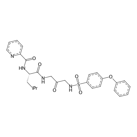 CC(C)C[C@H](NC(=O)c1ccccn1)C(=O)NCC(=O)CNS(=O)(=O)c1ccc(Oc2ccccc2)cc1